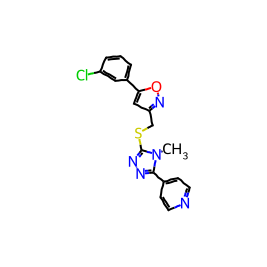 Cn1c(SCc2cc(-c3cccc(Cl)c3)on2)nnc1-c1ccncc1